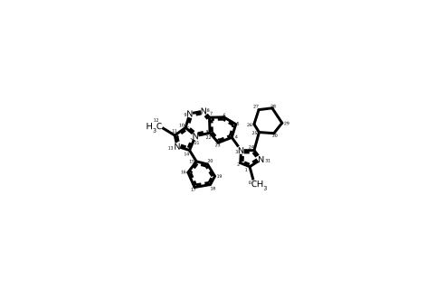 Cc1cn(-c2ccc3nnc4c(C)nc(-c5ccccc5)n4c3c2)c(C2CCCCC2)n1